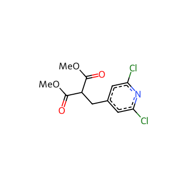 COC(=O)C(Cc1cc(Cl)nc(Cl)c1)C(=O)OC